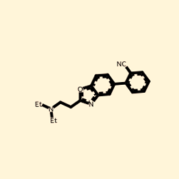 CCN(CC)CCc1nc2cc(-c3ccccc3C#N)ccc2o1